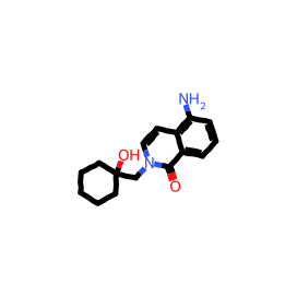 Nc1cccc2c(=O)n(CC3(O)CCCCC3)ccc12